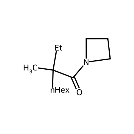 CCCCCCC(C)(CC)C(=O)N1CCC1